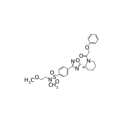 COCCN(C)S(=O)(=O)c1ccc(-c2noc([C@H]3CCCCN3C(=O)COc3ccccc3)n2)cc1